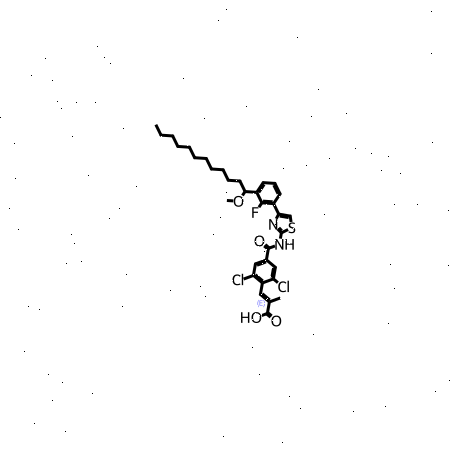 CCCCCCCCCCCC(OC)c1cccc(-c2csc(NC(=O)c3cc(Cl)c(/C=C(\C)C(=O)O)c(Cl)c3)n2)c1F